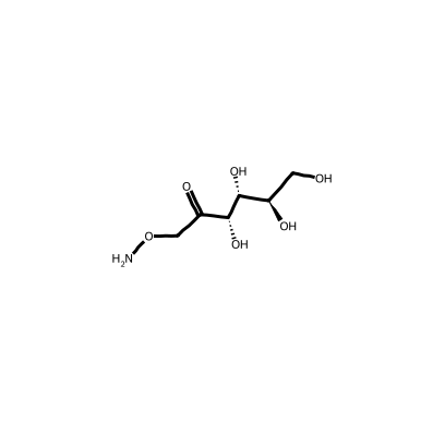 NOCC(=O)[C@@H](O)[C@H](O)[C@H](O)CO